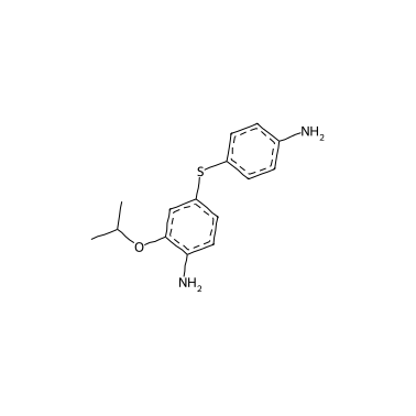 CC(C)Oc1cc(Sc2ccc(N)cc2)ccc1N